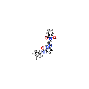 O=C(NCC12CC3CC(CC(C3)C1)C2)c1cccc2nc(CCN3C(=O)c4ccccc4C3=O)cn12